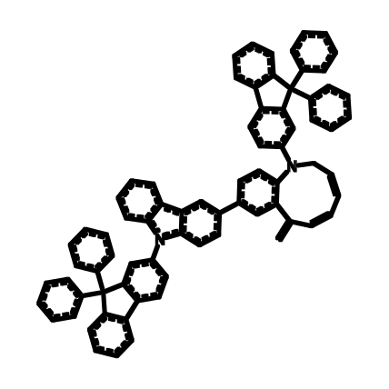 C=C1/C=C\C=C/CN(c2ccc3c(c2)C(c2ccccc2)(c2ccccc2)c2ccccc2-3)c2ccc(-c3ccc4c(c3)c3ccccc3n4-c3ccc4c(c3)C(c3ccccc3)(c3ccccc3)c3ccccc3-4)cc21